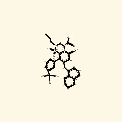 CCCN1C[C@@H](C(=O)O)n2c(c(-c3cccc(C(F)(F)F)c3)c(Cc3cccc4ccccc34)cc2=O)S1(=O)=O